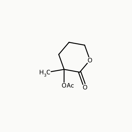 CC(=O)OC1(C)CCCOC1=O